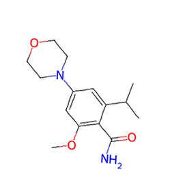 COc1cc(N2CCOCC2)cc(C(C)C)c1C(N)=O